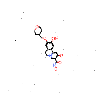 O=NC(=O)c1cn2c(cc1=O)-c1cc(O)c(OCC3CCOCC3)cc1CC2